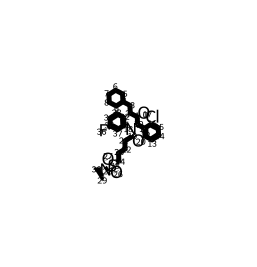 O=C(CCC1CCCCC1)C(c1ccccc1Cl)N(C(=O)CCCCS(=O)(=O)N1CC1)c1cccc(F)c1